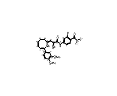 CCN(CC)C(=O)c1ccc(NC(=O)C(=N)/C=C2/CC/C=C\C=C(\c3ccc(OC)c(OC)c3)N2)cc1F